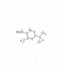 COc1ncc(C2(C)CO2)cc1C(F)(F)F